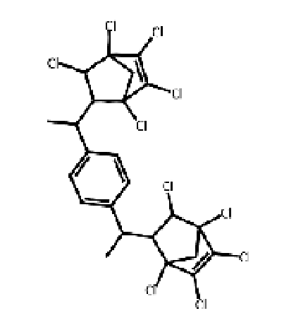 CC(c1ccc(C(C)C2C(Cl)C3(Cl)CC2(Cl)C(Cl)=C3Cl)cc1)C1C(Cl)C2(Cl)CC1(Cl)C(Cl)=C2Cl